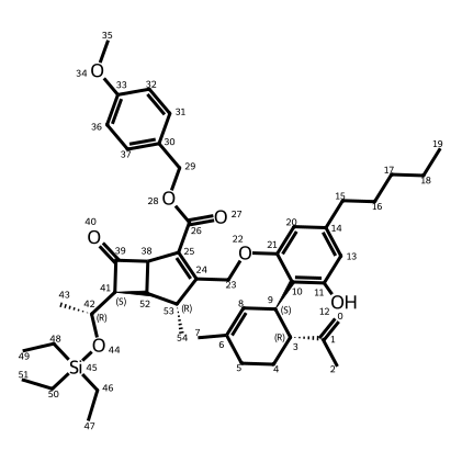 C=C(C)[C@@H]1CCC(C)=C[C@H]1c1c(O)cc(CCCCC)cc1OCC1=C(C(=O)OCc2ccc(OC)cc2)C2C(=O)[C@H]([C@@H](C)O[Si](CC)(CC)CC)C2[C@H]1C